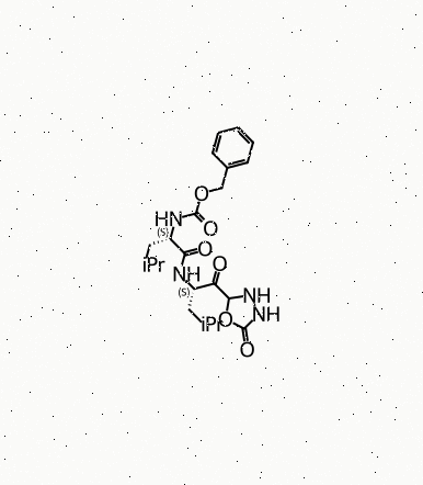 CC(C)C[C@H](NC(=O)OCc1ccccc1)C(=O)N[C@@H](CC(C)C)C(=O)C1NNC(=O)O1